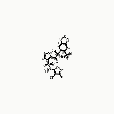 [2H]N(c1onc(C)c1Cl)S(=O)(=O)c1ccsc1C(=O)C([2H])([2H])c1cc2c(cc1C([2H])([2H])[2H])OCO2